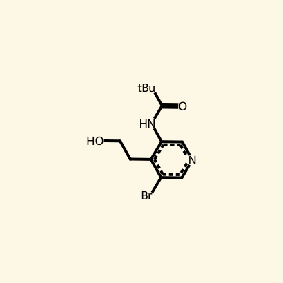 CC(C)(C)C(=O)Nc1cncc(Br)c1CCO